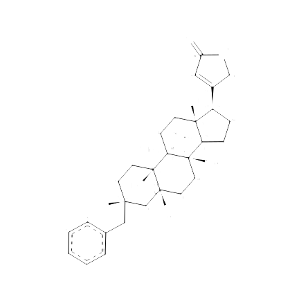 C[C@]12CC[C@@](O)(Cc3ccccc3)C[C@H]1CC[C@@H]1[C@@H]2CC[C@]2(C)[C@@H](C3=CC(=O)OC3)CC[C@@H]12